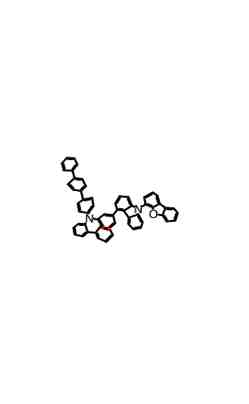 c1ccc(-c2ccc(-c3ccc(N(c4cccc(-c5cccc6c5c5ccccc5n6-c5cccc6c5oc5ccccc56)c4)c4ccccc4-c4ccccc4)cc3)cc2)cc1